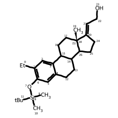 CCc1cc2c(cc1O[Si](C)(C)C(C)(C)C)CCC1C2CC[C@]2(C)C(=CCO)CCC12